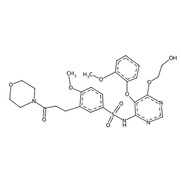 COc1ccc(S(=O)(=O)Nc2ncnc(OCCO)c2Oc2ccccc2OC)cc1CCC(=O)N1CCOCC1